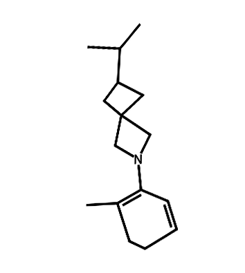 CC1=C(N2CC3(CC(C(C)C)C3)C2)C=CCC1